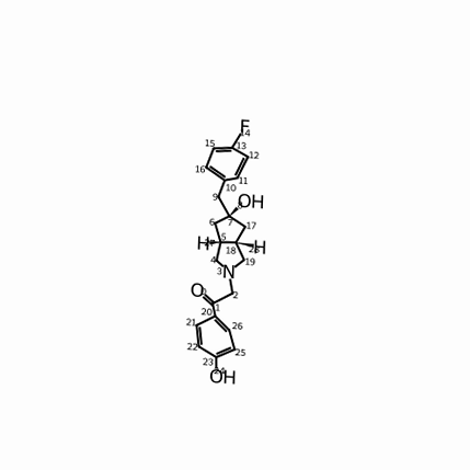 O=C(CN1C[C@@H]2C[C@](O)(Cc3ccc(F)cc3)C[C@@H]2C1)c1ccc(O)cc1